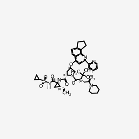 C=C[C@@H]1C[C@]1(NC(=O)[C@@H]1C[C@@H](Oc2cc(-c3ccccn3)nc3c4c(ccc23)CCC4)CN1C(=O)[C@@H](CC(=O)N1CCCCC1)C(C)(C)C)C(=O)NS(=O)(=O)C1CC1